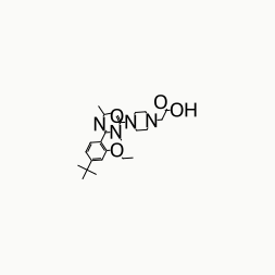 CCOc1cc(C(C)(C)C)ccc1/C(=N/C(C)C)N(C)C(=O)N1CCN(CC(=O)O)CC1